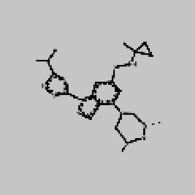 C[C@H]1CN(c2cc(SNC3(C)CC3)cc3c2cnn3-c2nnc(C(F)F)s2)C[C@H](C)N1